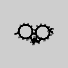 CC1CCCCCCC2C3CCCCCC(C)(C)CCCC4CC5(CC5(C)C2CCC1)N43